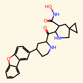 O=C(NO)C1CC2(CC2)CNC1C(=O)C1CC(c2ccc3oc4ccccc4c3c2)CCN1